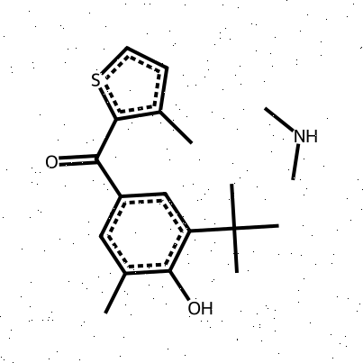 CNC.Cc1ccsc1C(=O)c1cc(C)c(O)c(C(C)(C)C)c1